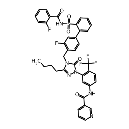 CCCCc1nn(-c2cc(NC(=O)c3cccnc3)ccc2C(F)(F)F)c(=O)n1Cc1ccc(-c2ccccc2S(=O)(=O)NC(=O)c2ccccc2F)cc1F